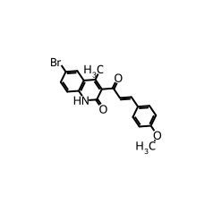 COc1ccc(/C=C/C(=O)c2c(C)c3cc(Br)ccc3[nH]c2=O)cc1